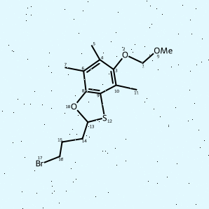 COCOc1c(C)c(C)c2c(c1C)SC(CCCBr)O2